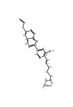 C=CCc1ccc2nc(-c3ccc(C=CCCCC(C)OCCCCC)c(F)c3)cnc2c1